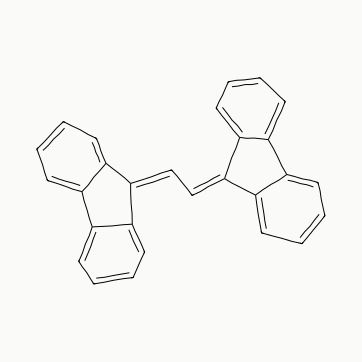 C(C=C1c2ccccc2-c2ccccc21)=C1c2ccccc2-c2ccccc21